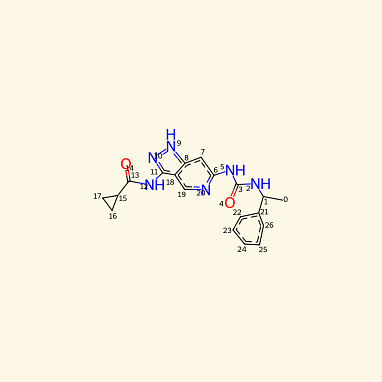 CC(NC(=O)Nc1cc2[nH]nc(NC(=O)C3CC3)c2cn1)c1ccccc1